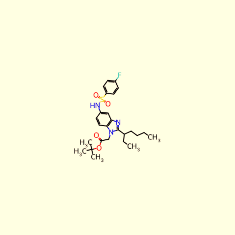 CCCCC(CC)c1nc2cc(NS(=O)(=O)c3ccc(F)cc3)ccc2n1CC(=O)OC(C)(C)C